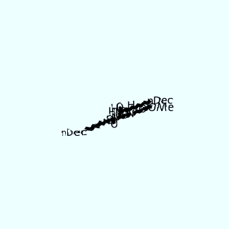 CCCCCCCCCCCCCCCCCCOC(=O)NCC(COCNCCCOCCOC)NC(=O)OCCCCCCCCCCCCCCCCCC